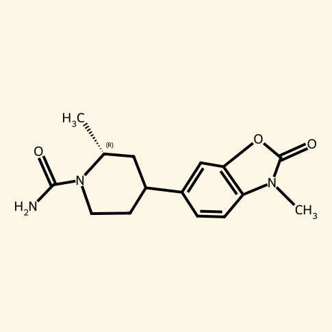 C[C@@H]1CC(c2ccc3c(c2)oc(=O)n3C)CCN1C(N)=O